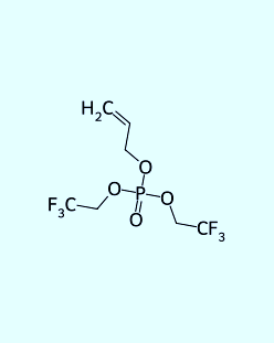 C=CCOP(=O)(OCC(F)(F)F)OCC(F)(F)F